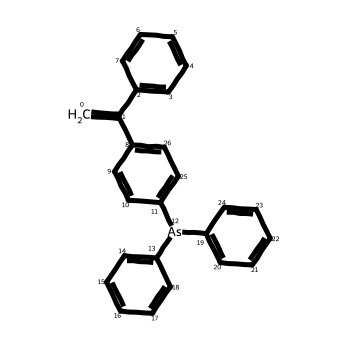 C=C(c1ccccc1)c1ccc([As](c2ccccc2)c2ccccc2)cc1